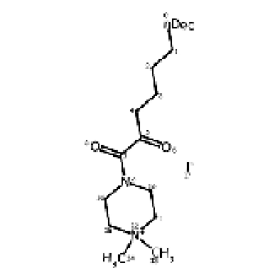 CCCCCCCCCCCCCCC(=O)C(=O)N1CC[N+](C)(C)CC1.[I-]